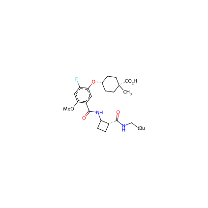 COc1cc(F)c(O[C@H]2CC[C@@](C)(C(=O)O)CC2)cc1C(=O)NC1CC[C@H]1C(=O)NCC(C)(C)C